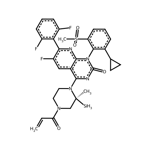 C=CC(=O)N1CCN(c2nc(=O)n(-c3c(C4CC4)cccc3S(C)(=O)=O)c3nc(-c4c(F)cccc4F)c(F)cc23)[C@@](C)([SiH3])C1